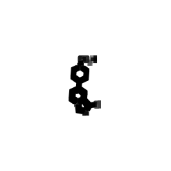 O=C(O)N1CCC(c2ccn3cnc(Cl)c3c2)CC1